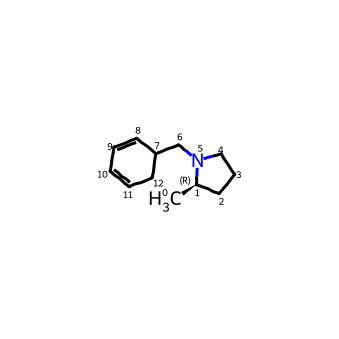 C[C@@H]1CCCN1CC1C=CC=CC1